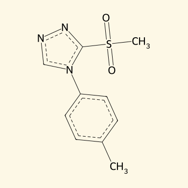 Cc1ccc(-n2cnnc2S(C)(=O)=O)cc1